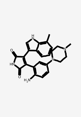 Cc1cccc2c(C3=C(c4cc(N5CCN(C)CC5)ccc4N)C(=O)NC3=O)c[nH]c12